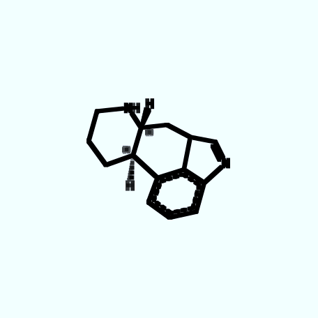 C1=Nc2cccc3c2C1C[C@H]1NCCC[C@H]31